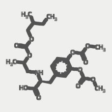 CCC(C)COC(=O)OC(C)CN[C@@H](Cc1ccc(OC(=O)OC)c(OC(=O)OC)c1)C(=O)O